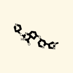 Cn1cc(-c2cc(Oc3ccc4nc(Cc5ccncc5)[nH]c(=O)c4c3)ccn2)cn1